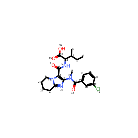 CCC(C)C(NC(=O)c1c(N(C)C(=O)c2cccc(Cl)c2)nc2n1CCCC2)C(=O)O